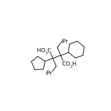 CC(C)CC(C(=O)O)(C1CCCCC1)C(CC(C)C)(C(=O)O)C1CCCC1